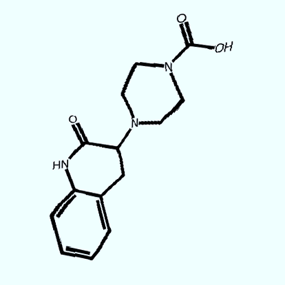 O=C1Nc2ccccc2CC1N1CCN(C(=O)O)CC1